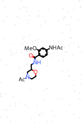 COc1cc(NC(C)=O)ccc1C(=O)NCC1CN(C(C)=O)CCO1